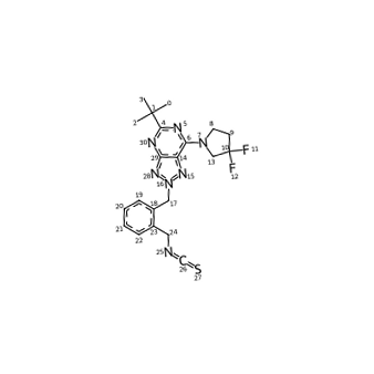 CC(C)(C)c1nc(N2CCC(F)(F)C2)c2nn(Cc3ccccc3CN=C=S)nc2n1